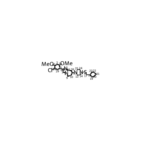 COc1cc(OC)c(-c2cn3ccc(N4CCN(SCc5ccccc5)CC4)cc3n2)cc1Cl